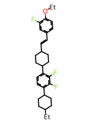 CCOc1ccc(/C=C/C2CCC(c3ccc(C4CCC(CC)CC4)c(F)c3F)CC2)cc1F